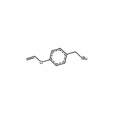 C=COc1ccc(CC(C)(C)C)cc1